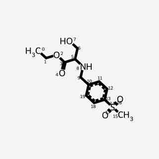 CCOC(=O)C(CO)NCc1ccc(S(C)(=O)=O)cc1